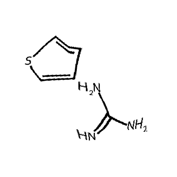 N=C(N)N.c1ccsc1